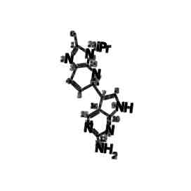 Cc1nc2ccc(-c3c[nH]c4nc(N)ncc34)nc2n1C(C)C